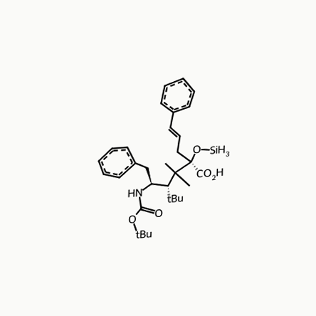 CC(C)(C)OC(=O)N[C@@H](Cc1ccccc1)[C@@H](C(C)(C)C)C(C)(C)[C@@](CC=Cc1ccccc1)(O[SiH3])C(=O)O